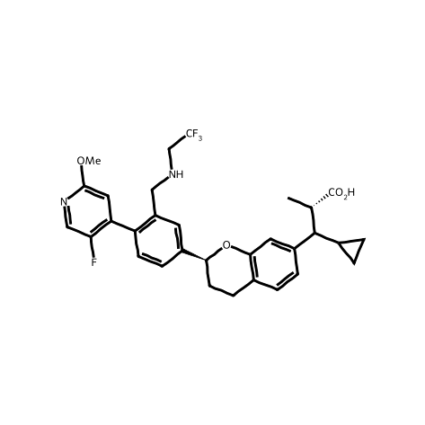 COc1cc(-c2ccc([C@@H]3CCc4ccc(C(C5CC5)[C@H](C)C(=O)O)cc4O3)cc2CNCC(F)(F)F)c(F)cn1